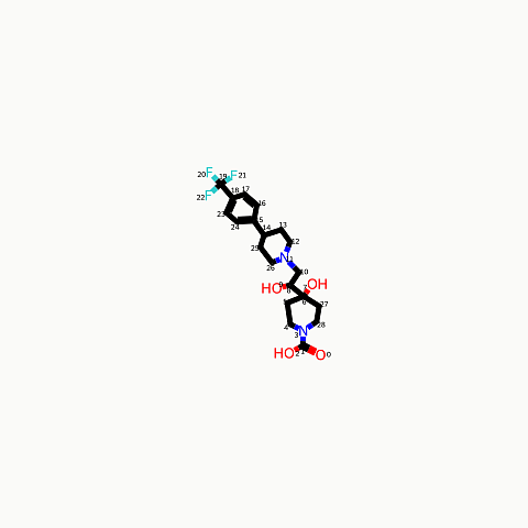 O=C(O)N1CCC(O)(C(O)CN2CCC(c3ccc(C(F)(F)F)cc3)CC2)CC1